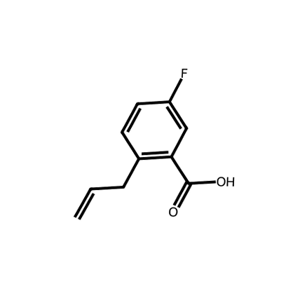 C=CCc1ccc(F)cc1C(=O)O